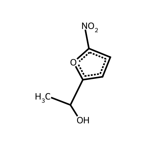 CC(O)c1ccc([N+](=O)[O-])o1